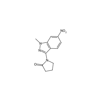 Cn1nc(N2CCCC2=O)c2ccc([N+](=O)[O-])cc21